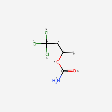 CC(CC(Cl)(Cl)Cl)OC(N)=O